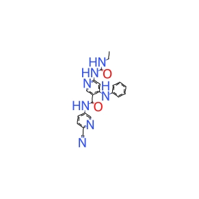 CCNC(=O)Nc1cc(Nc2ccccc2)c(C(=O)Nc2ccc(C#N)nc2)cn1